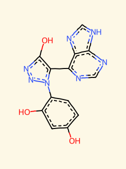 Oc1ccc(-n2nnc(O)c2-c2ncnc3[nH]cnc23)c(O)c1